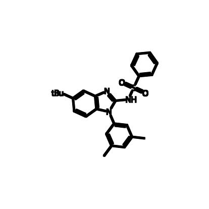 Cc1cc(C)cc(-n2c(NS(=O)(=O)c3ccccc3)nc3cc(C(C)(C)C)ccc32)c1